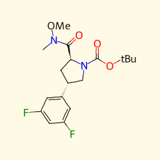 CON(C)C(=O)[C@@H]1C[C@@H](c2cc(F)cc(F)c2)CN1C(=O)OC(C)(C)C